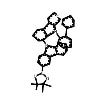 CC1(C)OB(c2ccc3c(c2)c2ccccc2n3-c2cccc3c4ccccc4n(-c4ccccc4-c4ccccc4)c23)OC1(C)C